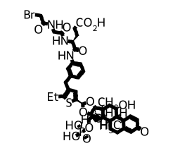 CCc1sc([C@@H]2O[C@@H]3C[C@H]4[C@@H]5CCC6=CC(=O)C=C[C@]6(C)[C@H]5[C@@H](O)C[C@]4(C)[C@]3(C(=O)COP(=O)(O)O)O2)cc1Cc1cccc(NC(=O)[C@H](CCC(=O)O)NC(=O)CNC(=O)CBr)c1